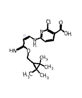 CC1(C)C(COC(=N)/C=C\Nc2ccc(C(=O)O)c(Cl)n2)C1(C)C